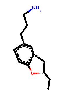 CCC1Cc2cc(CCCN)ccc2O1